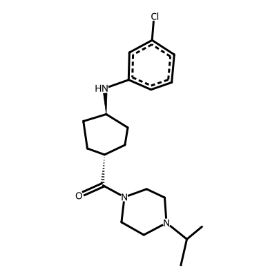 CC(C)N1CCN(C(=O)[C@H]2CC[C@H](Nc3cccc(Cl)c3)CC2)CC1